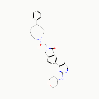 O=C(CN1Cc2ccc(-c3nc(NC4CCOCC4)ncc3Cl)cc2C1=O)N1CCCCC(c2ccccc2)CCC1